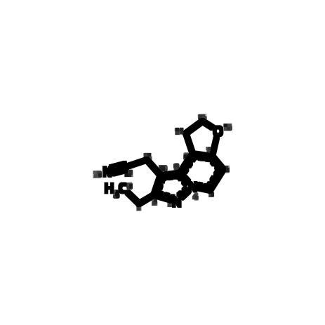 CCc1nn2ccc3c(c2c1CC#N)CCO3